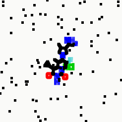 Cc1c(N2CC(C)C(C(C)N)C2)c(F)cn2c(=O)[nH]c(=O)c(C3CC3)c12.Cl